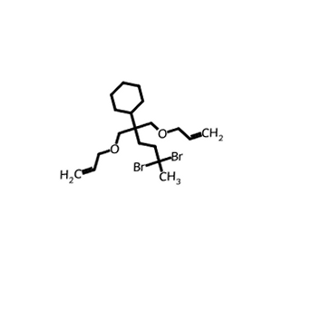 C=CCOCC(CCC(C)(Br)Br)(COCC=C)C1CCCCC1